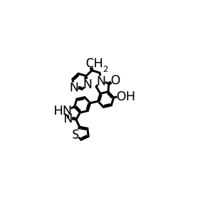 C=C(CN1Cc2c(-c3ccc4[nH]nc(-c5cccs5)c4c3)ccc(O)c2C1=O)c1ccncn1